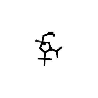 CC(C)N1C[C@](C)(CN)CC1C(C)(C)C